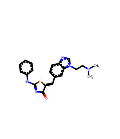 CN(C)CCn1cnc2ccc(/C=C3\SC(Nc4ccccc4)=NC3=O)cc21